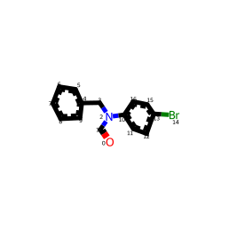 O=CN(Cc1ccccc1)c1ccc(Br)cc1